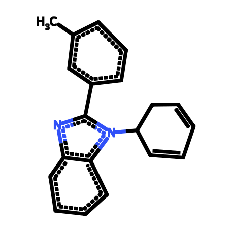 Cc1cccc(-c2nc3ccccc3n2C2C=CC=CC2)c1